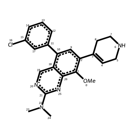 COc1c(C2=CCNCC2)cc(-c2cccc(Cl)c2)c2cnc(N(C)C)nc12